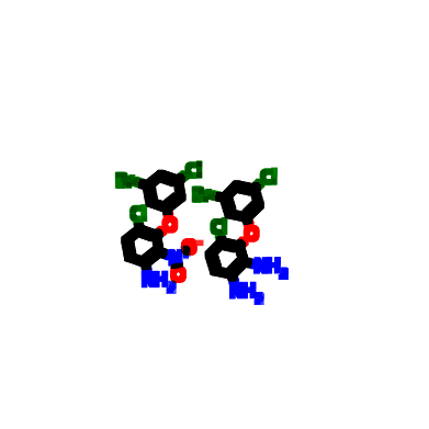 Nc1ccc(Cl)c(Oc2cc(Cl)cc(Br)c2)c1N.Nc1ccc(Cl)c(Oc2cc(Cl)cc(Br)c2)c1[N+](=O)[O-]